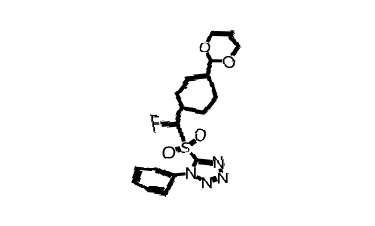 O=S(=O)(c1nnnn1-c1ccccc1)C(F)C1CCC(C2OCCCO2)CC1